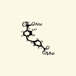 COC(=O)c1ccc(Cc2ccc(C(=O)OC)cc2)cc1